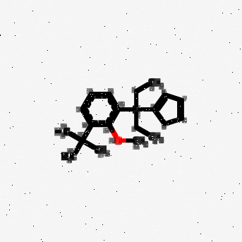 CC[Si](CC)(C1=CC=CC1)c1cccc(C(C)(C)C)c1OC